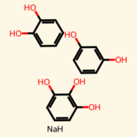 Oc1cccc(O)c1.Oc1cccc(O)c1O.Oc1ccccc1O.[NaH]